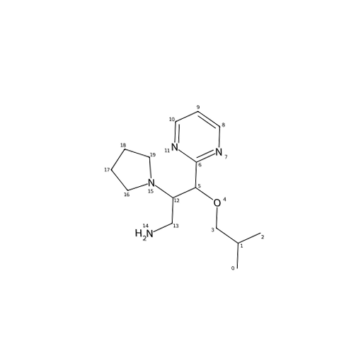 CC(C)COC(c1ncccn1)C(CN)N1CCCC1